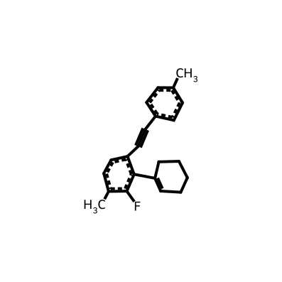 Cc1ccc(C#Cc2ccc(C)c(F)c2C2=CCCCC2)cc1